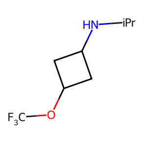 CC(C)NC1CC(OC(F)(F)F)C1